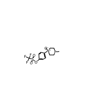 CP1CC[N+]([O-])(c2ccc(OS(=O)(=O)C(F)(F)F)cc2)CC1